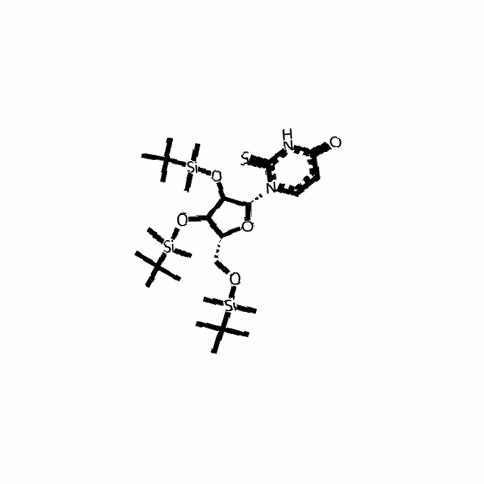 CC(C)(C)[Si](C)(C)OC[C@H]1O[C@@H](n2ccc(=O)[nH]c2=S)C(O[Si](C)(C)C(C)(C)C)C1O[Si](C)(C)C(C)(C)C